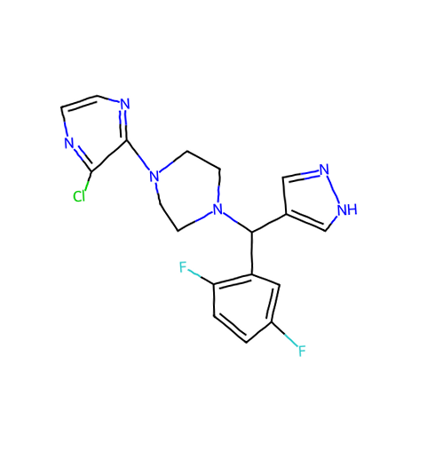 Fc1ccc(F)c(C(c2cn[nH]c2)N2CCN(c3nccnc3Cl)CC2)c1